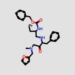 CC(C)CC(CNC(Cc1ccccc1)C(=O)CN(C)Cc1ccco1)NC(=O)OCc1ccccc1